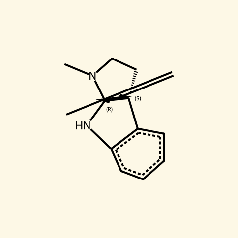 C=C1CCC[C@]23Nc4ccccc4[C@]12CCN3C